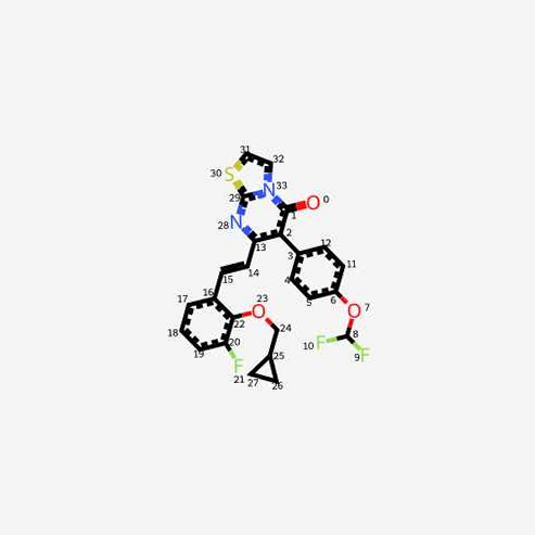 O=c1c(-c2ccc(OC(F)F)cc2)c(/C=C/c2cccc(F)c2OCC2CC2)nc2sccn12